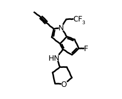 CC#Cc1cc2c(NC3CCOCC3)cc(F)cc2n1CC(F)(F)F